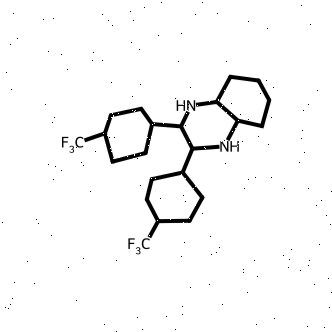 FC(F)(F)C1CCC(C2NC3CCCCC3NC2C2CCC(C(F)(F)F)CC2)CC1